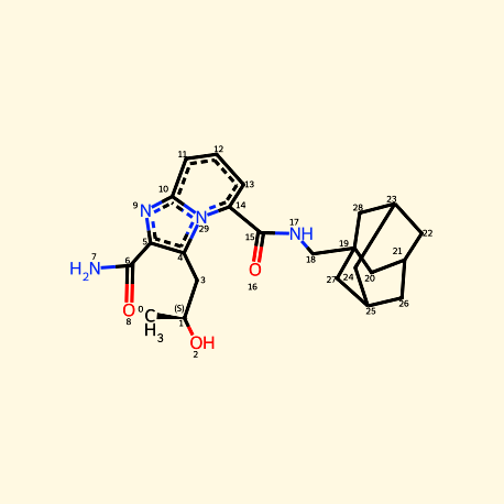 C[C@H](O)Cc1c(C(N)=O)nc2cccc(C(=O)NCC34CC5CC(CC(C5)C3)C4)n12